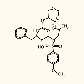 COc1ccc(S(=O)(=O)N(CC(C)C)CC(O)C(Cc2ccccc2)NC(=O)OC2COCOC2)cc1